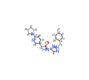 Cc1ccc(Cn2ncc(NC(=O)Cc3ccc(N4CCCC4)nc3)n2)cc1